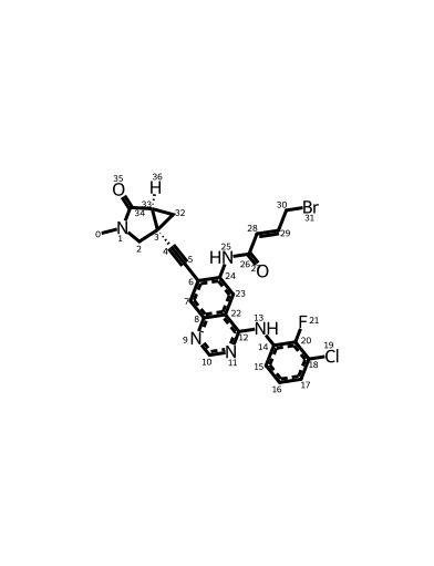 CN1C[C@]2(C#Cc3cc4ncnc(Nc5cccc(Cl)c5F)c4cc3NC(=O)/C=C/CBr)C[C@@H]2C1=O